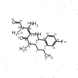 CCCCN(C)C(=O)/C(NCc1ccc(F)cc1)=C(/N)N(C)C=O